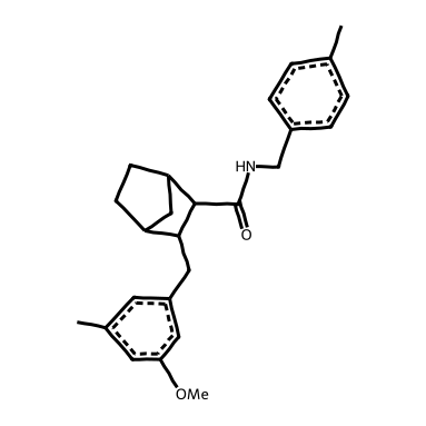 COc1cc(C)cc(CC2C3CCC(C3)C2C(=O)NCc2ccc(C)cc2)c1